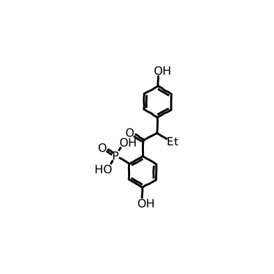 CCC(C(=O)c1ccc(O)cc1P(=O)(O)O)c1ccc(O)cc1